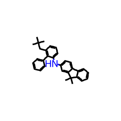 CC(C)(C)Cc1cccc(Nc2ccc3c(c2)C(C)(C)c2ccccc2-3)c1-c1ccccc1